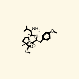 COC(=O)[C@]1(C)CCCN1C(=O)[C@H](Cc1ccc(OC)cc1)NC(=O)[C@@H](N)C(C)C